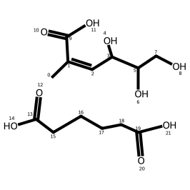 CC(=CC(O)C(O)CO)C(=O)O.O=C(O)CCCCC(=O)O